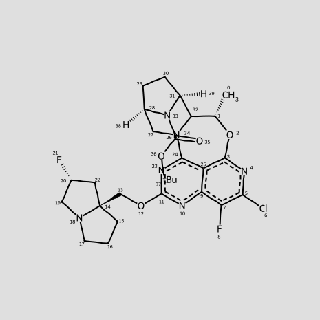 C[C@@H]1Oc2nc(Cl)c(F)c3nc(OC[C@@]45CCCN4C[C@H](F)C5)nc(c23)N2C[C@H]3CC[C@@H](C12)N3C(=O)OC(C)(C)C